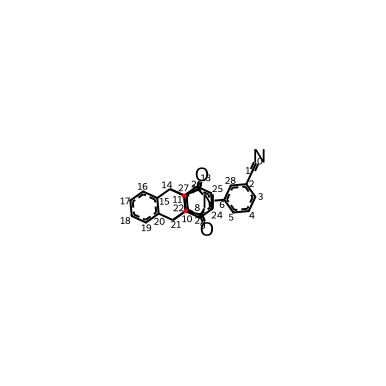 N#Cc1cccc(N2C(=O)C3=C(C2=O)C2c4ccccc4C3c3ccccc32)c1